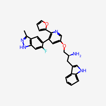 Cc1n[nH]c2cc(F)c(-c3cc(OC[C@@H](N)Cc4c[nH]c5ccccc45)cnc3-c3ccco3)cc12